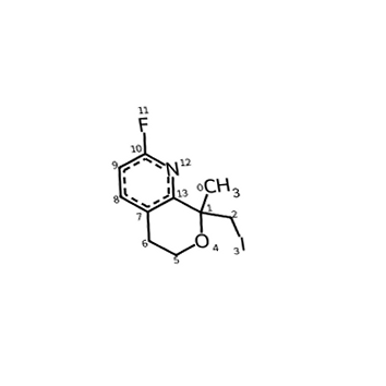 CC1(CI)OCCc2ccc(F)nc21